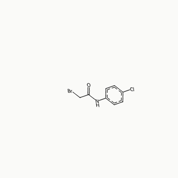 O=C(CBr)Nc1ccc(Cl)cc1